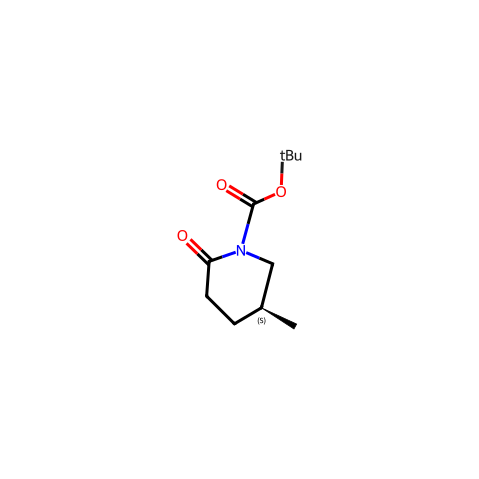 C[C@H]1CCC(=O)N(C(=O)OC(C)(C)C)C1